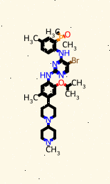 Cc1ccc(Nc2nc(Nc3cc(C)c(C4CCN(C5CCN(C)CC5)CC4)cc3OC(C)C)ncc2Br)c(P(C)(C)=O)c1